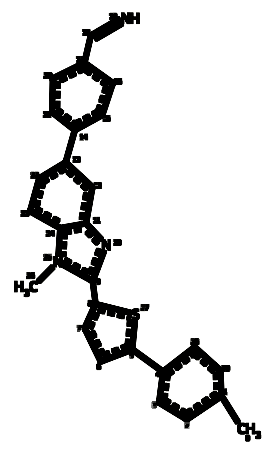 Cc1ccc(-c2ccc(-c3nc4cc(-c5ccc(C=N)cc5)ccc4n3C)s2)cc1